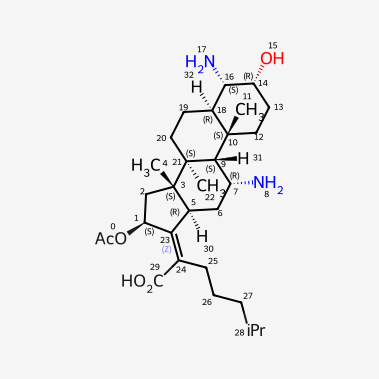 CC(=O)O[C@H]1C[C@@]2(C)[C@@H](C[C@@H](N)[C@H]3[C@@]4(C)CC[C@@H](O)[C@@H](N)[C@@H]4CC[C@@]32C)/C1=C(\CCCC(C)C)C(=O)O